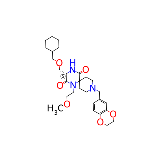 COCCN1C(=O)[C@H](COCC2CCCCC2)NC(=O)C12CCN(Cc1ccc3c(c1)OCCO3)CC2